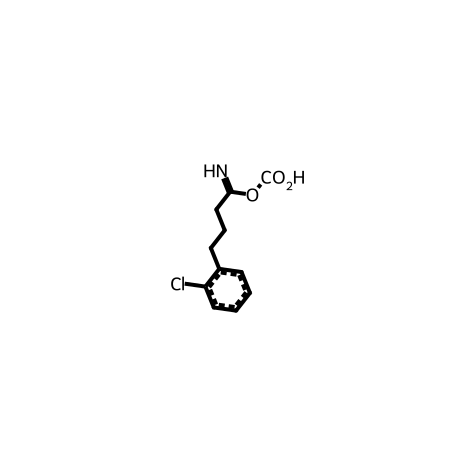 N=C(CCCc1ccccc1Cl)OC(=O)O